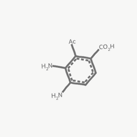 CC(=O)c1c(C(=O)O)ccc(N)c1N